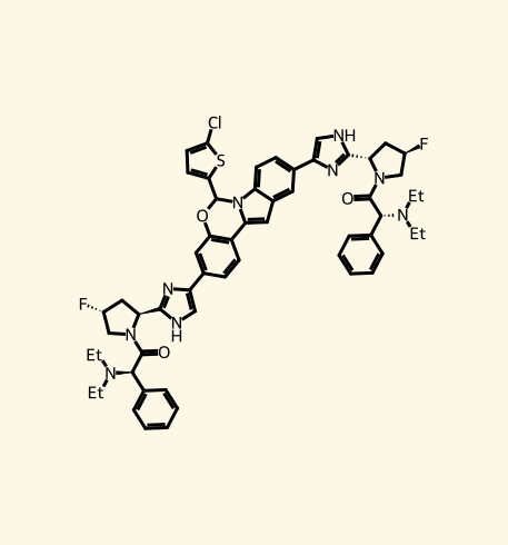 CCN(CC)[C@@H](C(=O)N1C[C@H](F)C[C@H]1c1nc(-c2ccc3c(c2)OC(c2ccc(Cl)s2)n2c-3cc3cc(-c4c[nH]c([C@@H]5C[C@@H](F)CN5C(=O)[C@@H](c5ccccc5)N(CC)CC)n4)ccc32)c[nH]1)c1ccccc1